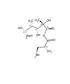 CCC[C@@H](C)[C@H](O)[C@H](C)[C@@H](O)[C@](C)(O)[C@@H](CC)OC(=O)[C@H](C)C[C@H](C)CC